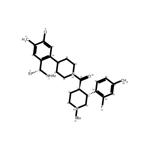 CC[C@@H](NC(C)=O)c1cc(C)c(Cl)cc1C1CCN(C(=O)[C@@H]2CCN(C(C)(C)C)C[C@H]2c2ccc(C)cc2F)CC1